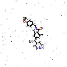 CCC(c1cc(C)c2c(c1)CN(Cc1ccc(OC(F)(F)F)cc1)C2=O)C1CCNCC1